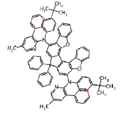 Cc1cnc(N(c2ccc(C(C)(C)C)cc2)c2cc3c(c4c2oc2ccccc24)-c2c(cc(N(c4ccc(C(C)(C)C)cc4)c4ncc(C)cc4-c4ccccc4)c4c2oc2ccccc24)C3(c2ccccc2)c2ccccc2)c(-c2ccccc2)c1